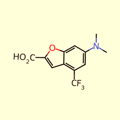 CN(C)c1cc(C(F)(F)F)c2cc(C(=O)O)oc2c1